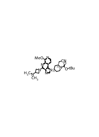 COc1nccc2c1nc(N1CC(N(C)C)C1)c1ncn([C@H]3CCN(C(=O)OC(C)(C)C)[C@H](CC#N)C3)c12